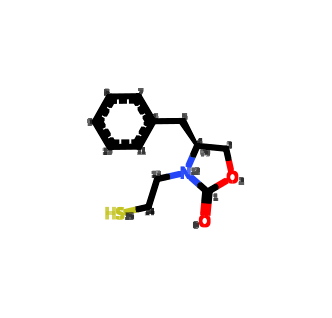 O=C1OC[C@H](Cc2ccccc2)N1CCS